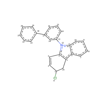 ClC1C=Cc2c(c3ccccc3n2-c2cccc(-c3ccccc3)c2)C1